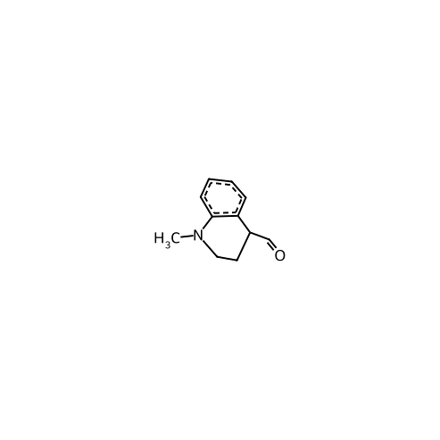 CN1CCC(C=O)c2ccccc21